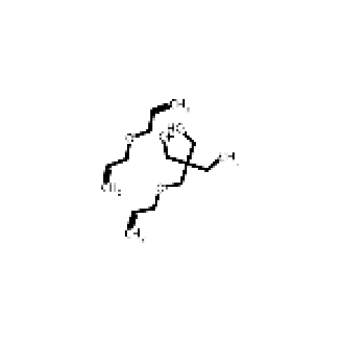 C=CCOCC(CC)(CO)CO.C=CCOCC=C